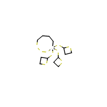 C1C[CH2][Sb]([S]C2CCS2)([S]C2CCS2)([S]C2CCS2)[S]SSC1